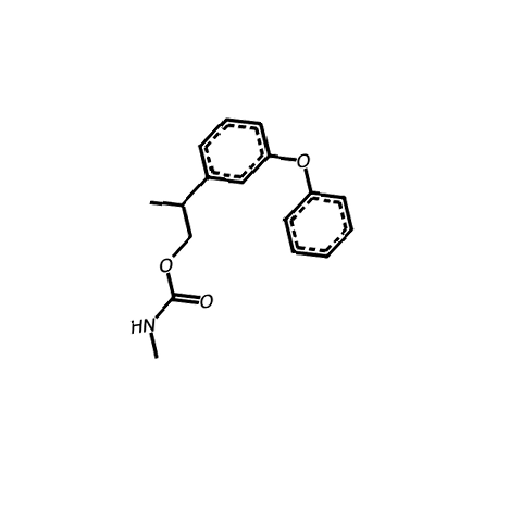 CNC(=O)OCC(C)c1cccc(Oc2ccccc2)c1